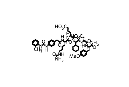 COc1ccc(C[C@@H](NC(=O)[C@H](CC(=O)O)NC(=O)[C@H](NC(=O)[C@H](CCCC(=O)O)NC(=O)[C@H](CCCCNC(N)=O)NC(=O)Cc2ccc(NC(=O)Nc3ccccc3C)cc2)C2CCCCC2)C(N)=O)cc1